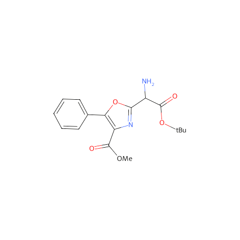 COC(=O)c1nc(C(N)C(=O)OC(C)(C)C)oc1-c1ccccc1